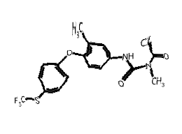 Cc1cc(NC(=O)N(C)C(=O)Cl)ccc1Oc1ccc(SC(F)(F)F)cc1